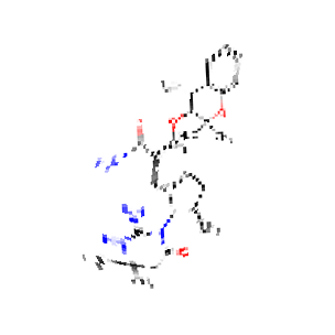 C[C@@H]1Cc2cc(O[C@H]3[C@H](C)c4ccccc4OC3(C)C)c(C(N)=O)cc2[C@@H]1N1C(=N)NC(C)(C)CC1=O